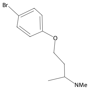 CNC(C)CCOc1ccc(Br)cc1